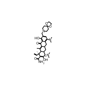 C=C[C@]1(C)C(C(N)=O)=C(O)[C@@H](N(C)C)C2CC3Cc4c(N(C)C)cc(CN5CCC6(CC5)OCCO6)c(O)c4C(=O)C3=C(C)C21